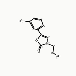 Cc1cccc(-c2nn(CCO)c(=O)o2)c1